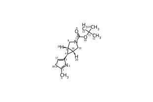 Cc1nc([C@H]2[C@@H]3CN(C(=O)OC(C)(C)C)C[C@@H]32)cs1